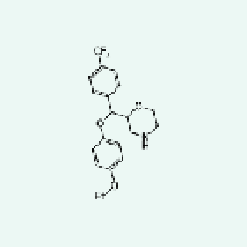 CCOc1ccc(OC(c2ccc(C(F)(F)F)cc2)C2CNCCO2)cc1